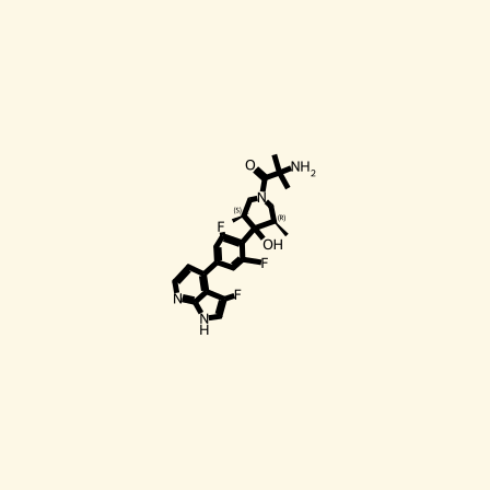 C[C@@H]1CN(C(=O)C(C)(C)N)C[C@H](C)C1(O)c1c(F)cc(-c2ccnc3[nH]cc(F)c23)cc1F